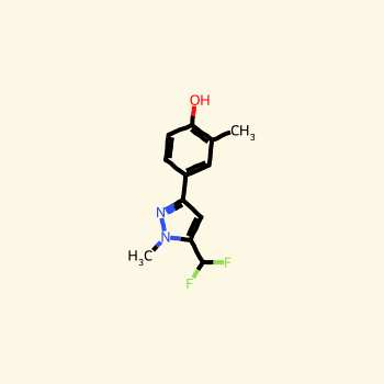 Cc1cc(-c2cc(C(F)F)n(C)n2)ccc1O